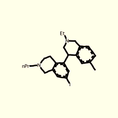 CCCN1CCc2c(cc(I)cc2C2CN(CC)Cc3ccc(C)cc32)C1